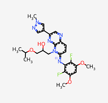 COc1cc(OC)c(F)c(/N=c2\ccc3ncc(-c4cnn(C)c4)nc3n2CC(O)COC(C)C)c1F